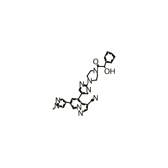 Cn1cc(-c2cc(-c3cnc(N4CCN(C(=O)C(O)c5ccccc5)CC4)nc3)c3c(C#N)cnn3c2)cn1